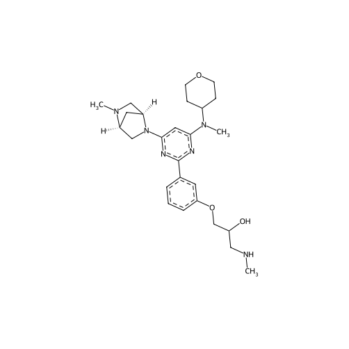 CNCC(O)COc1cccc(-c2nc(N(C)C3CCOCC3)cc(N3C[C@@H]4C[C@H]3CN4C)n2)c1